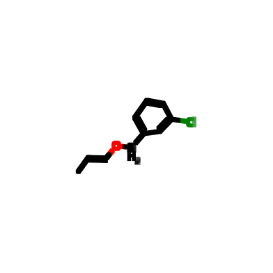 CC=CO[SiH2]c1cccc(Cl)c1